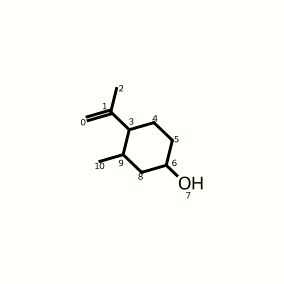 C=C(C)C1CCC(O)CC1C